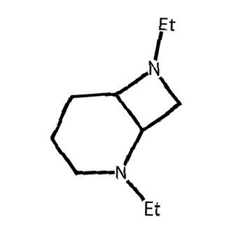 CCN1CCCC2C1CN2CC